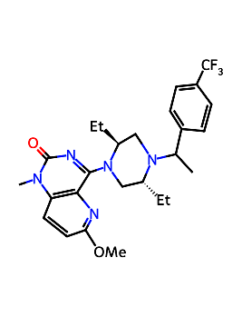 CC[C@H]1CN(C(C)c2ccc(C(F)(F)F)cc2)[C@H](CC)CN1c1nc(=O)n(C)c2ccc(OC)nc12